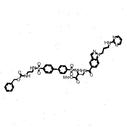 COC(=O)[C@H](CNC(=O)c1ccc2c(cnn2CCCNc2ncccn2)c1)NS(=O)(=O)c1ccc(-c2ccc(S(=O)(=O)NCCNC(=O)OCc3ccccc3)cc2)cc1